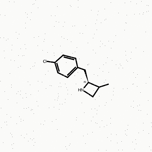 CC1CN[C@H]1Cc1ccc(Cl)cc1